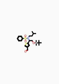 CC(C)CCN(C(CO[Si](C)(C)C(C)(C)C)c1cc(C=O)cs1)S(=O)(=O)c1ccccc1